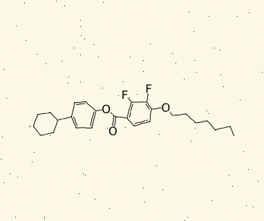 CCCCCCCOc1ccc(C(=O)Oc2ccc(C3CC[CH]CC3)cc2)c(F)c1F